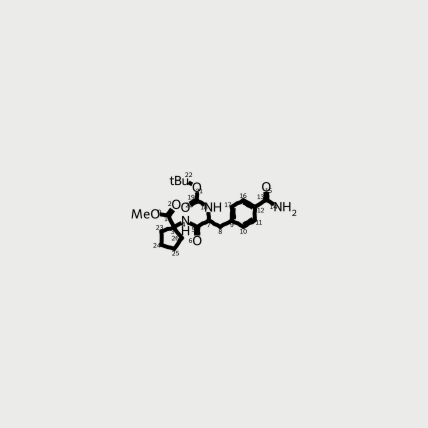 COC(=O)C1(NC(=O)C(Cc2ccc(C(N)=O)cc2)NC(=O)OC(C)(C)C)CCCC1